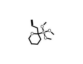 C=CCC1([Si](OC)(OC)OC)CCCCO1